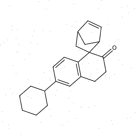 O=C1CCc2cc(C3CCCCC3)ccc2C12CC1C=CC2C1